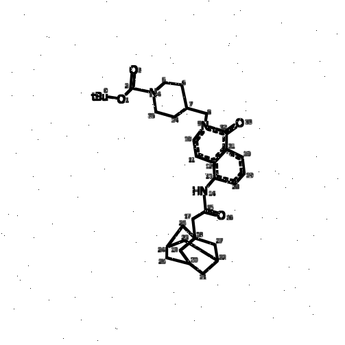 CC(C)(C)OC(=O)N1CCC(Cn2ccc3c(NC(=O)CC45CC6CC(CC(C6)C4)C5)cccc3c2=O)CC1